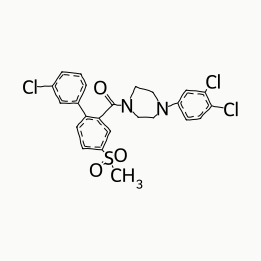 CS(=O)(=O)c1ccc(-c2cccc(Cl)c2)c(C(=O)N2CCN(c3ccc(Cl)c(Cl)c3)CC2)c1